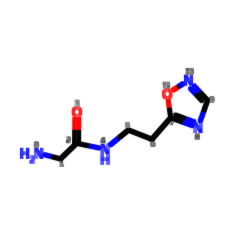 NCC(=O)NCCc1ncno1